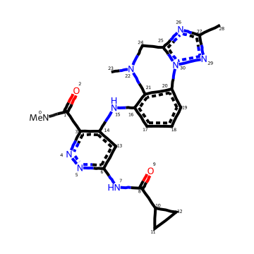 CNC(=O)c1nnc(NC(=O)C2CC2)cc1Nc1cccc2c1N(C)Cc1nc(C)nn1-2